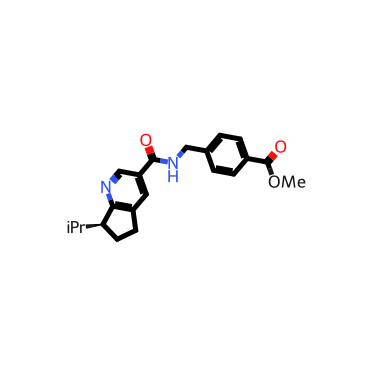 COC(=O)c1ccc(CNC(=O)c2cnc3c(c2)CC[C@H]3C(C)C)cc1